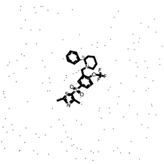 Cc1nc(C)c(S(=O)(=O)c2ccc(OC(F)(F)F)c(CN3CCC[CH][C@H]3c3ccccc3)c2)s1